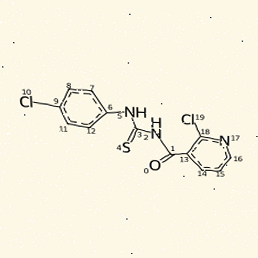 O=C(NC(=S)Nc1ccc(Cl)cc1)c1cccnc1Cl